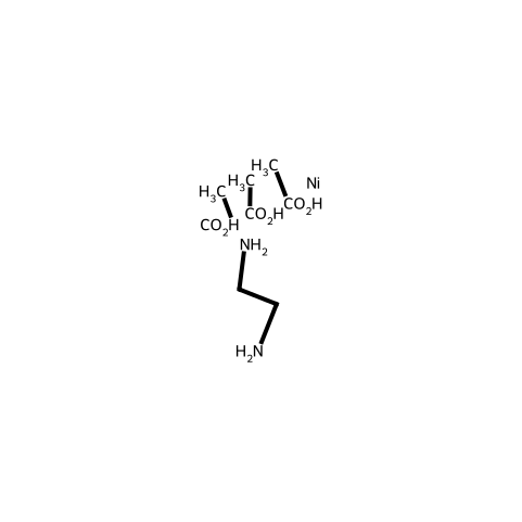 CC(=O)O.CC(=O)O.CC(=O)O.NCCN.[Ni]